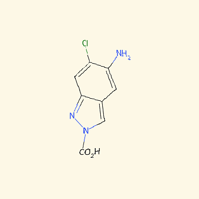 Nc1cc2cn(C(=O)O)nc2cc1Cl